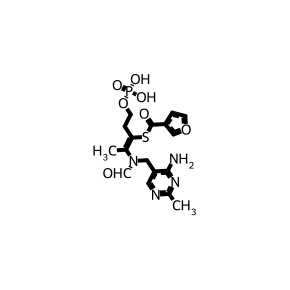 CC(=C(CCOP(=O)(O)O)SC(=O)c1ccoc1)N(C=O)Cc1cnc(C)nc1N